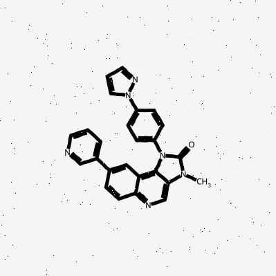 Cn1c(=O)n(-c2ccc(-n3cccn3)cc2)c2c3cc(-c4cccnc4)ccc3ncc21